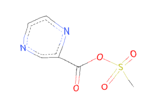 CS(=O)(=O)OC(=O)c1cnccn1